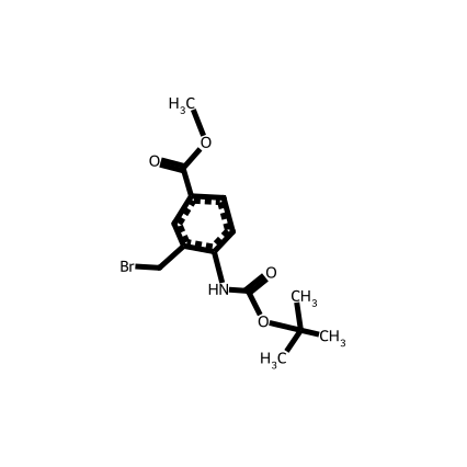 COC(=O)c1ccc(NC(=O)OC(C)(C)C)c(CBr)c1